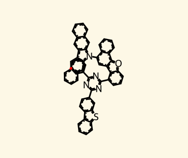 c1ccc(-c2nc(-c3ccc4c(c3)sc3ccccc34)nc(-c3cccc4oc5c6ccccc6c(-n6c7cc8ccccc8cc7c7cc8ccccc8cc76)cc5c34)n2)cc1